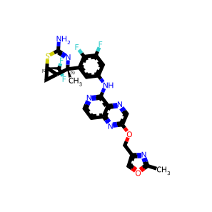 Cc1nc(COc2cnc3c(Nc4cc(F)c(F)c([C@@]5(C)N=C(N)S[C@@]6(C(F)F)CC65)c4)nccc3n2)co1